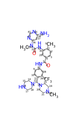 Cc1ccc(C(=O)Nc2ccc(C(N3CCNCC3)N3CCN(C)CC3)c(C(F)(F)F)c2)cc1NC(=O)N(C)c1cc(N)ncn1